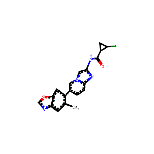 Cc1cc2ncoc2cc1-c1ccc2nc(NC(=O)C3CC3F)cn2c1